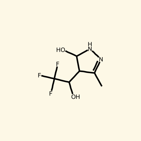 CC1=NNC(O)C1C(O)C(F)(F)F